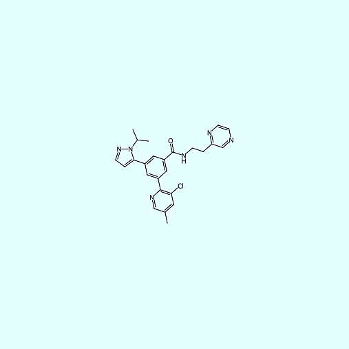 Cc1cnc(-c2cc(C(=O)NCCc3cnccn3)cc(-c3ccnn3C(C)C)c2)c(Cl)c1